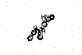 O=C(C[C@H](NCc1ccccn1)C(=O)N1CCC(N2CCCCC2)CC1)N1CCC(N2Cc3ccccc3NC2=O)CC1